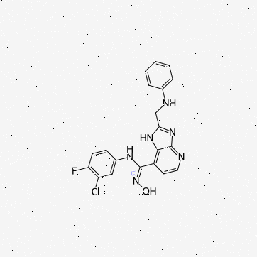 O/N=C(/Nc1ccc(F)c(Cl)c1)c1ccnc2nc(CNc3ccccc3)[nH]c12